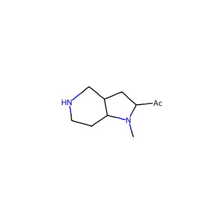 CC(=O)C1CC2CNCCC2N1C